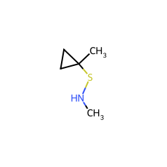 CNSC1(C)CC1